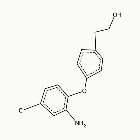 Nc1cc(Cl)ccc1Oc1ccc(CCO)cc1